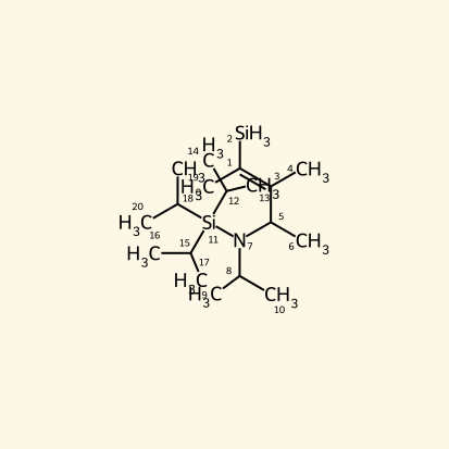 CC([SiH3])=C(C)C(C)N(C(C)C)[Si](C(C)C)(C(C)C)C(C)C